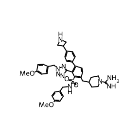 COc1ccc(CNS(=O)(=O)c2c(CC3CCN(C(=N)N)CC3)ccc(-c3ccc(C4CNC4)cc3)c2-c2nnn(Cc3ccc(OC)cc3)n2)cc1